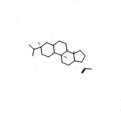 CC(=O)[C@H]1CC[C@H]2[C@@H]3CC[C@@H]4C[C@@](O)(C(C)C)CC[C@@H]4[C@H]3CC[C@]12C